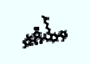 CNCCCCOc1cc(-c2scnc2C)ccc1CNC(=O)[C@@H]1C[C@@H](O)CN1C(=O)[C@@H](NC(C)=O)C(C)(C)C